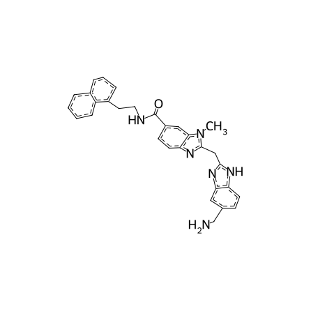 Cn1c(Cc2nc3cc(CN)ccc3[nH]2)nc2ccc(C(=O)NCCc3cccc4ccccc34)cc21